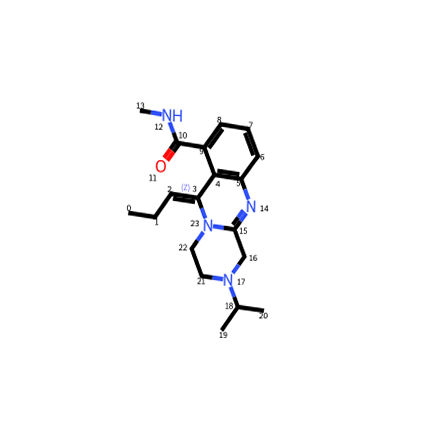 CC/C=C1/c2c(cccc2C(=O)NC)N=C2CN(C(C)C)CCN21